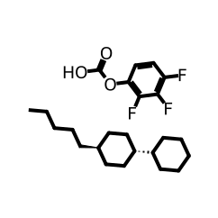 CCCCC[C@H]1CC[C@H](C2CCCCC2)CC1.O=C(O)Oc1ccc(F)c(F)c1F